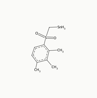 Cc1ccc(S(=O)(=O)[CH2][SnH3])c(C)c1C